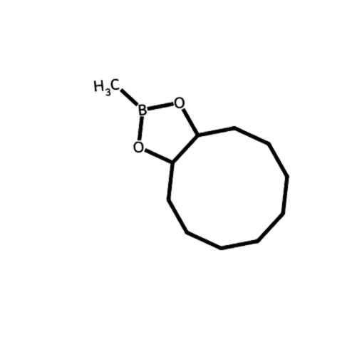 CB1OC2CCCCCCCCC2O1